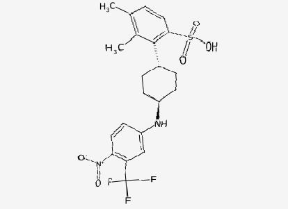 Cc1ccc(S(=O)(=O)O)c([C@H]2CC[C@H](Nc3ccc([N+](=O)[O-])c(C(F)(F)F)c3)CC2)c1C